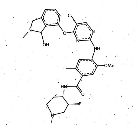 COc1cc(C(=O)N[C@H]2CCN(C)C[C@H]2F)c(C)cc1Nc1ncc(Cl)c(Oc2cccc3c2C(O)N(C)C3)n1